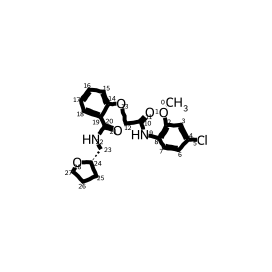 COc1cc(Cl)ccc1NC(=O)COc1ccccc1C(=O)NC[C@@H]1CCCO1